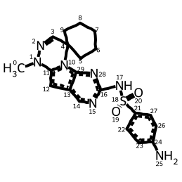 CN1N=CC2(CCCCC2)n2c1cc1cnc(NS(=O)(=O)c3ccc(N)cc3)nc12